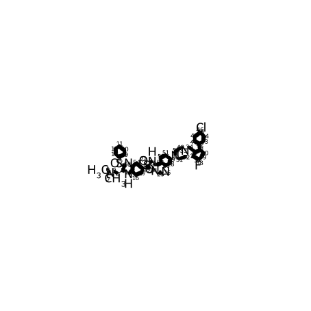 CN(C)CC[C@H](CSc1ccccc1)Nc1ccc(S(=O)(=O)Nc2ncnc3cc(N4CCN(Cc5cc(F)ccc5-c5ccc(Cl)cc5)CC4)ccc23)cc1[N+](=O)[O-]